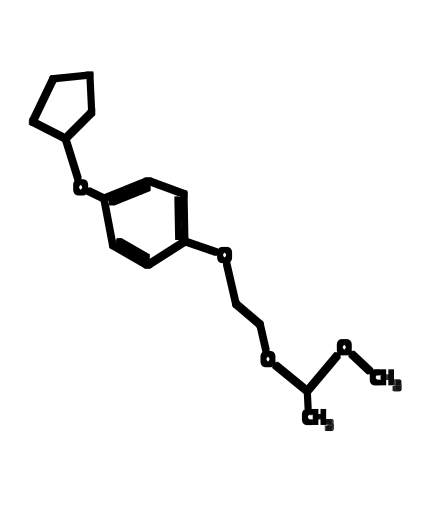 COC(C)OCCOc1ccc(OC2CCCC2)cc1